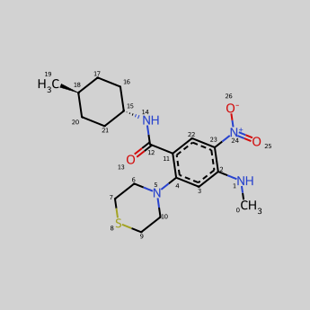 CNc1cc(N2CCSCC2)c(C(=O)N[C@H]2CC[C@H](C)CC2)cc1[N+](=O)[O-]